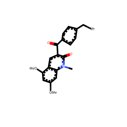 COc1cc(OC)c2cc(C(=O)c3ccc(CC(C)C)cc3)c(=O)n(C)c2c1